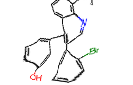 Oc1cccc(-c2c(-c3ccccc3Br)cnc3c(C(F)(F)F)cccc23)c1